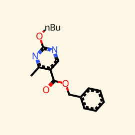 CCCCOc1ncc(C(=O)OCc2ccccc2)c(C)n1